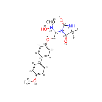 CC1(C)NC(=O)N(C(COc2ccc(-c3ccc(OC(F)(F)F)cc3)cc2)N(O)C=O)C1=O